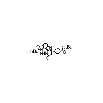 CCCCC(=O)Nc1cccc2nn3c(C4CCN(C(=O)OC(C)(C)C)CC4)cc(=O)[nH]c3c12